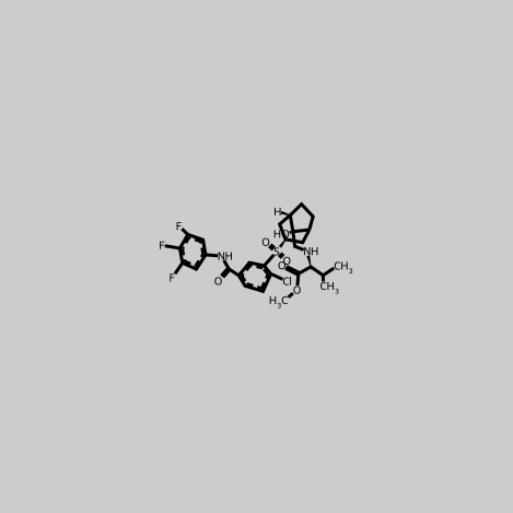 COC(=O)[C@@H](NC[C@@]1(O)C2CC[C@H]1C[C@H](S(=O)(=O)c1cc(C(=O)Nc3cc(F)c(F)c(F)c3)ccc1Cl)C2)C(C)C